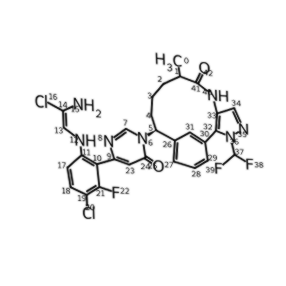 CC1CCC[C@H](n2cnc(-c3c(N/C=C(\N)Cl)ccc(Cl)c3F)cc2=O)c2cccc(c2)-c2c(cnn2C(F)F)NC1=O